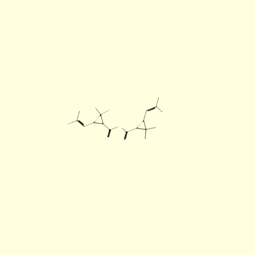 CC(C)=CC1C(C(=O)OC(=O)C2C(C=C(C)C)C2(C)C)C1(C)C